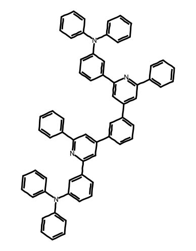 c1ccc(-c2cc(-c3cccc(-c4cc(-c5ccccc5)nc(-c5cccc(N(c6ccccc6)c6ccccc6)c5)c4)c3)cc(-c3cccc(N(c4ccccc4)c4ccccc4)c3)n2)cc1